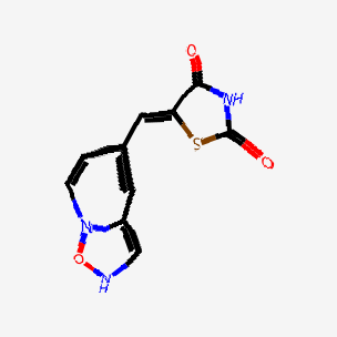 O=C1NC(=O)C(=CC2=CC3=CNON3C=C2)S1